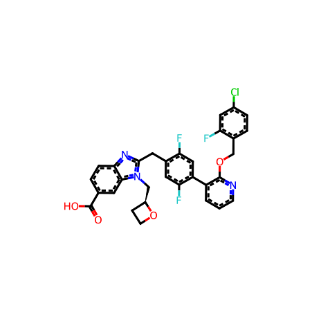 O=C(O)c1ccc2nc(Cc3cc(F)c(-c4cccnc4OCc4ccc(Cl)cc4F)cc3F)n(C[C@@H]3CCO3)c2c1